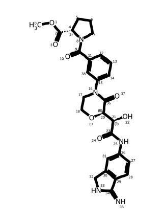 COC(=O)[C@@H]1CCCN1C(=O)c1cccc(N2CCO[C@H]([C@@H](O)C(=O)Nc3ccc4c(c3)CNC4=N)C2=O)c1